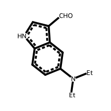 CCN(CC)c1ccc2[nH]cc(C=O)c2c1